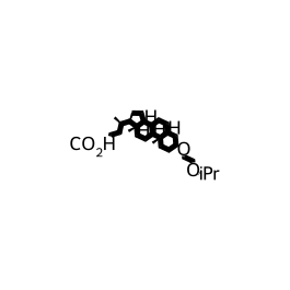 CC(C)OCCO[C@@H]1CC[C@@]2(C)[C@H](CC[C@@H]3[C@@H]2CC[C@]2(C)[C@@H]([C@H](C)CCC(=O)O)CC[C@@H]32)C1